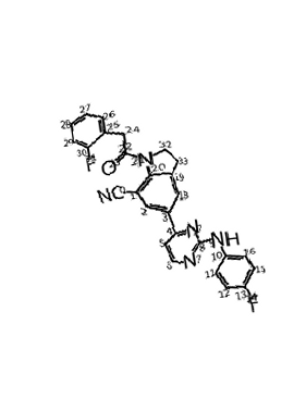 N#Cc1cc(-c2ccnc(Nc3ccc(F)cc3)n2)cc2c1N(C(=O)Cc1ccccc1F)CC2